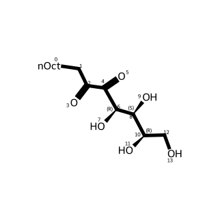 CCCCCCCCCC(=O)C(=O)[C@H](O)[C@@H](O)[C@H](O)CO